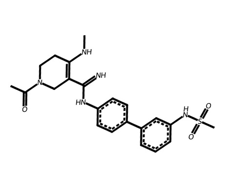 CNC1=C(C(=N)Nc2ccc(-c3cccc(NS(C)(=O)=O)c3)cc2)CN(C(C)=O)CC1